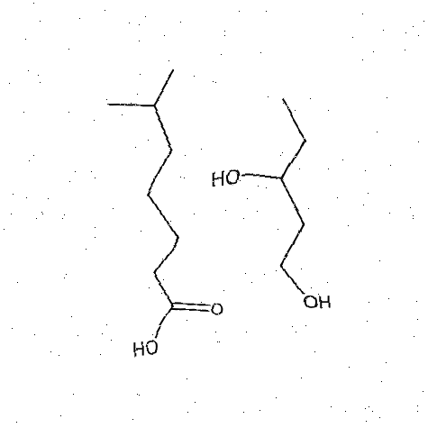 CC(C)CCCCC(=O)O.CCC(O)CCO